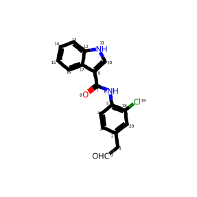 O=CCc1ccc(NC(=O)c2c[nH]c3ccccc23)c(Cl)c1